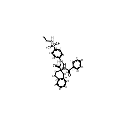 CCNS(=O)(=O)c1ccc(NC(=O)C2(NC(=O)c3ccccc3)CCc3ccccc3C2)cc1